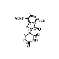 CC(=O)Nc1ccc(C#N)c2c1CN(C1CCC(=O)NC1=O)C2=O